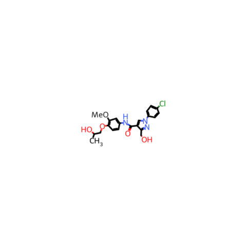 COc1cc(NC(=O)c2cn(-c3ccc(Cl)cc3)nc2CO)ccc1OCC(C)O